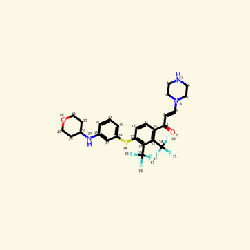 O=C(C=CN1CCNCC1)c1ccc(Sc2cccc(NC3CCOCC3)c2)c(C(F)(F)F)c1C(F)(F)F